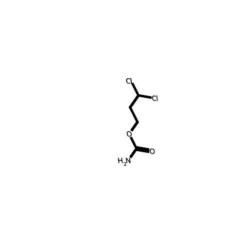 NC(=O)OCCC(Cl)Cl